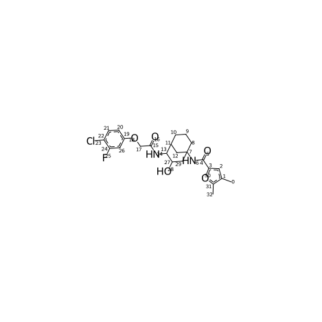 Cc1cc(C(=O)NC23CCCC(C2)C(NC(=O)COc2ccc(Cl)c(F)c2)C(O)C3)oc1C